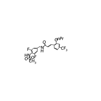 CCCOc1cc(C(F)(F)F)ccc1C=CC(=O)NCc1cc(F)c(NS(C)(=O)=O)c(F)c1